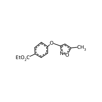 CCOC(=O)c1ccc(Oc2cc(C)on2)cc1